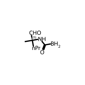 BC(=O)N[C@](C)(C=O)CCC